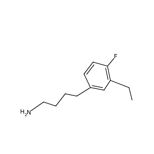 CCc1cc(CCCCN)ccc1F